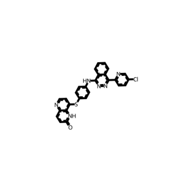 O=c1ccc2nccc(Sc3ccc(Nc4nnc(-c5ccc(Cl)cn5)c5ccccc45)cc3)c2[nH]1